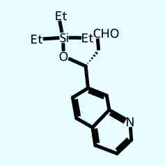 CC[Si](CC)(CC)O[C@H](CC=O)c1ccc2cccnc2c1